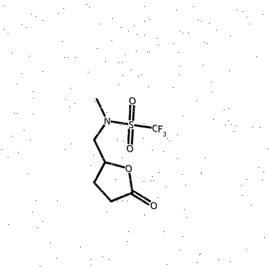 CN(CC1CCC(=O)O1)S(=O)(=O)C(F)(F)F